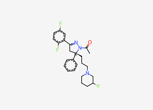 CC(=O)N1N=C(c2cc(F)ccc2F)C[C@@]1(CCCN1CCCC(F)C1)c1ccccc1